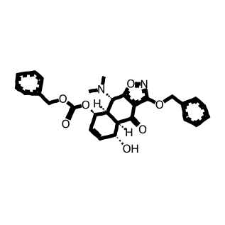 CN(C)[C@@H]1c2onc(OCc3ccccc3)c2C(=O)[C@@H]2[C@H]1[C@@H](OC(=O)OCc1ccccc1)C=C[C@H]2O